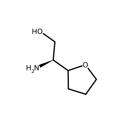 N[C@@H](CO)C1CCCO1